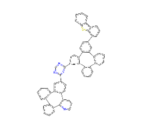 c1ccc2c(c1)-c1ccccc1-c1cc(-c3cccc4c3sc3ccccc34)ccc1-c1ccc(-c3ncnc(-c4ccc5c(c4)-c4ccccc4-c4ccccc4-c4ncccc4-5)n3)cc1-2